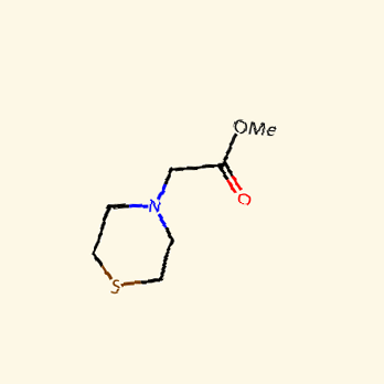 COC(=O)CN1CCSCC1